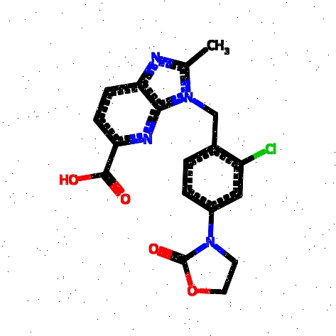 Cc1nc2ccc(C(=O)O)nc2n1Cc1ccc(N2CCOC2=O)cc1Cl